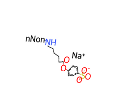 CCCCCCCCCNCCCCCC(=O)Oc1ccc(S(=O)(=O)[O-])cc1.[Na+]